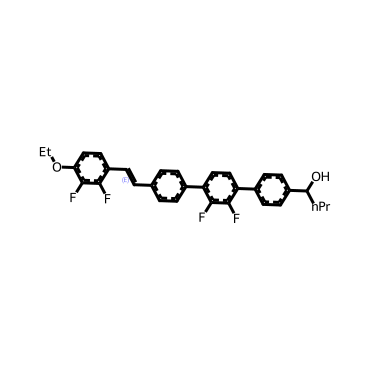 CCCC(O)c1ccc(-c2ccc(-c3ccc(/C=C/c4ccc(OCC)c(F)c4F)cc3)c(F)c2F)cc1